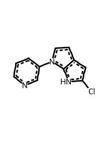 Clc1cc2ccn(-c3cccnc3)c2[nH]1